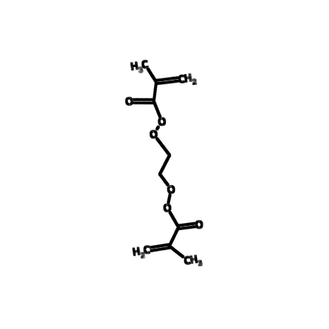 C=C(C)C(=O)OOCCOOC(=O)C(=C)C